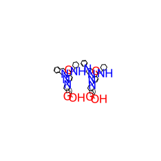 O=C(O)C[C@@H]1CCCN(c2ccc(C(=O)NC3CCCCC3)c(N3CCN(c4ccccc4)CC3)n2)C1.O=C(O)C[C@@H]1CCCN(c2ccc(C(=O)NC3CCCCC3)c(N3CCc4ccccc4C3)n2)C1